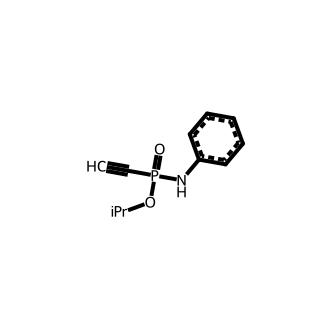 C#CP(=O)(Nc1ccccc1)OC(C)C